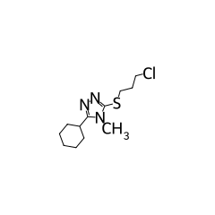 Cn1c(SCCCCl)nnc1C1CCCCC1